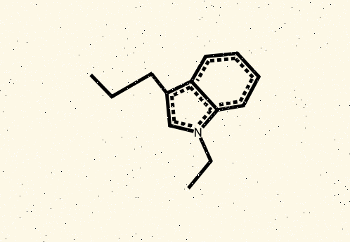 CCCc1cn(CC)c2ccccc12